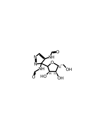 O=CNC1=CN=NC1(NC=O)C1O[C@H](CO)[C@@H](O)[C@H]1O